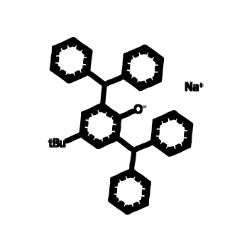 CC(C)(C)c1cc(C(c2ccccc2)c2ccccc2)c([O-])c(C(c2ccccc2)c2ccccc2)c1.[Na+]